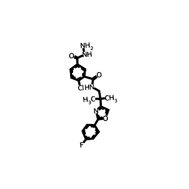 CC(C)(CNC(=O)c1cc(C(=O)NN)ccc1Cl)c1coc(-c2ccc(F)cc2)n1